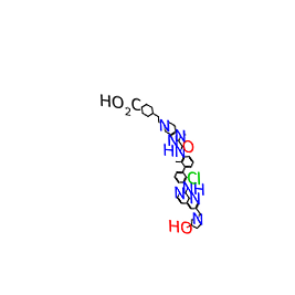 Cc1c(NC(=O)c2nc3c(n2C)CCN(CCC2CCC(C(=O)O)CC2)C3)cccc1-c1cccc(Nc2nccc3cc(CN4CCC(O)C4)cnc23)c1Cl